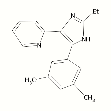 CCc1nc(-c2ccccn2)c(-c2cc(C)cc(C)c2)[nH]1